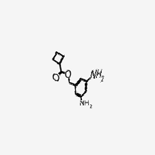 Nc1cc(N)cc(COC(=O)C2CCC2)c1